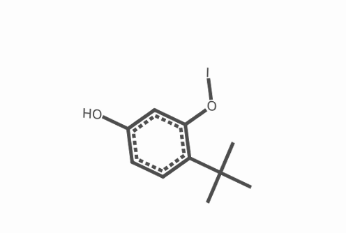 CC(C)(C)c1ccc(O)cc1OI